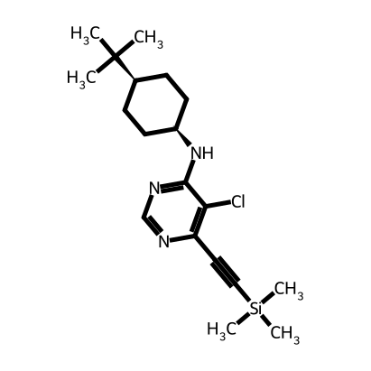 CC(C)(C)[C@H]1CC[C@@H](Nc2ncnc(C#C[Si](C)(C)C)c2Cl)CC1